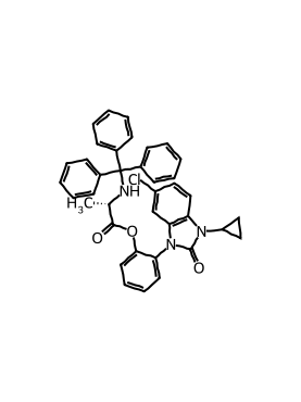 C[C@H](NC(c1ccccc1)(c1ccccc1)c1ccccc1)C(=O)Oc1ccccc1-n1c(=O)n(C2CC2)c2ccc(Cl)cc21